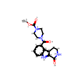 CC(C)(C)OC(=O)N1CCN(C(=O)c2cccc3[nH]c4c(c23)CCNC4=O)CC1